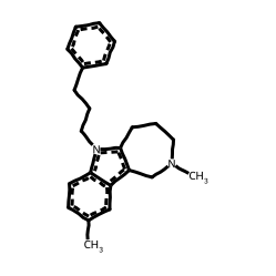 Cc1ccc2c(c1)c1c(n2CCCc2ccccc2)CCCN(C)C1